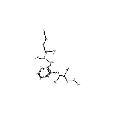 OCCC(O)C(O)Nc1nccnc1NC(O)C(O)CCO